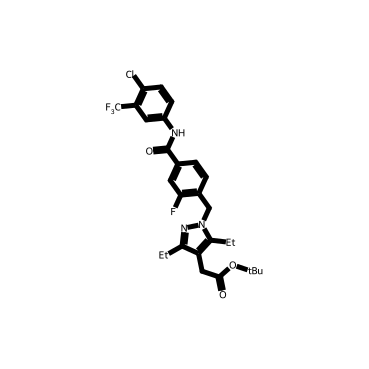 CCc1nn(Cc2ccc(C(=O)Nc3ccc(Cl)c(C(F)(F)F)c3)cc2F)c(CC)c1CC(=O)OC(C)(C)C